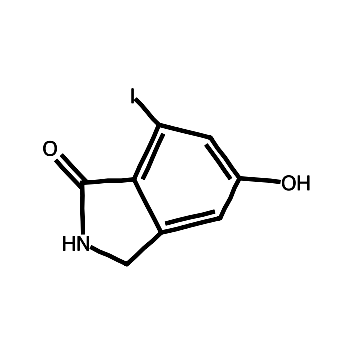 O=C1NCc2cc(O)cc(I)c21